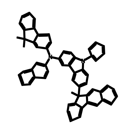 CC1(C)c2ccccc2-c2ccc(N(c3ccc4ccccc4c3)c3ccc4c(c3)c3cc(C5(C)c6ccccc6-c6cc7ccccc7cc65)ccc3n4-c3ccccc3)cc21